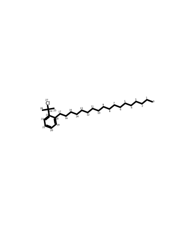 CCCCCCCCCCCCCCCCCCc1ccccc1C(C)(C)Cl